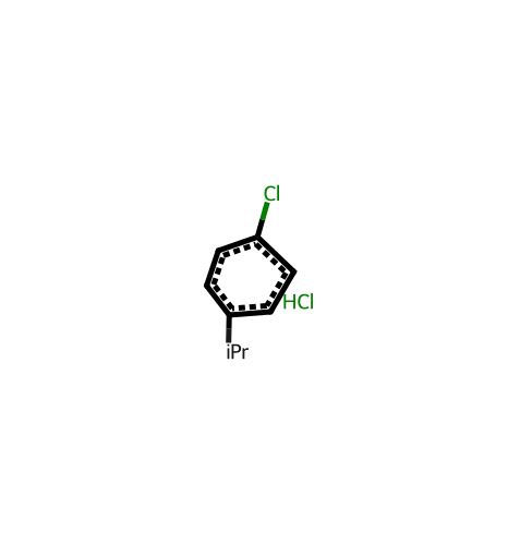 CC(C)c1ccc(Cl)cc1.Cl